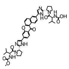 COC(=O)N[C@H](C(=O)N1CCC[C@H]1c1ncc(-c2ccc3c(=O)c4c(ccc5cc(-c6cnc([C@@H]7CCCN7C(=O)[C@@H](NC(=O)O)C(C)C)[nH]6)ccc54)oc3c2)[nH]1)C(C)C